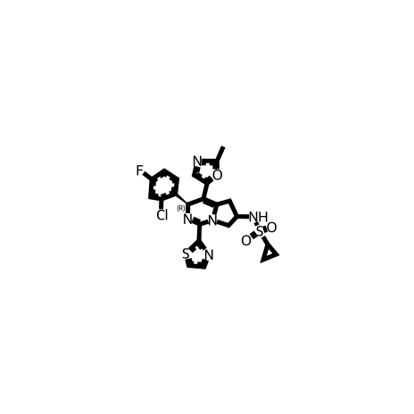 Cc1ncc(C2=C3CC(NS(=O)(=O)C4CC4)CN3C(c3nccs3)=N[C@H]2c2ccc(F)cc2Cl)o1